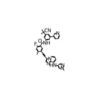 Cc1cc(F)c(C(=O)Nc2cc(-c3cccnc3)cc(C(C)(C)C#N)c2)cc1C#Cc1cnc2c(Nc3cnn(C)c3)cccn12